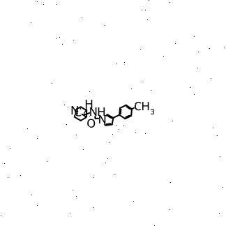 Cc1ccc(-c2ccn(C(=O)N[C@H]3CN4CCC3CC4)c2)cc1